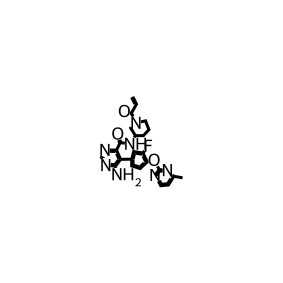 C=CC(=O)N1CCCC(NC(=O)c2ncnc(N)c2-c2ccc(Oc3nccc(C)n3)c(F)c2)C1